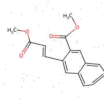 COC(=O)C=Cc1cc2ccccc2cc1C(=O)OC